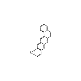 C1=CC2SC2c2cc3cc4c(ccc5ccccc54)cc3cc21